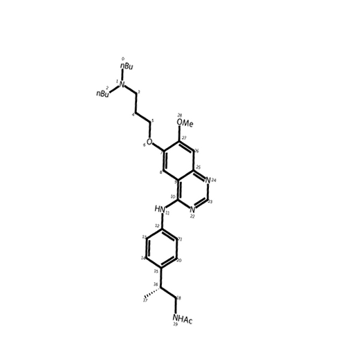 CCCCN(CCCC)CCCOc1cc2c(Nc3ccc([C@@H](C)CNC(C)=O)cc3)ncnc2cc1OC